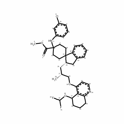 COC(=O)C1(Nc2cccc(Cl)c2)CCC2(CC1)c1ccccc1C[C@@H]2C[C@@H](C)COc1ccnc2c1C(OC(F)F)CCC2